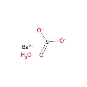 O.O=[Si]([O-])[O-].[Ba+2]